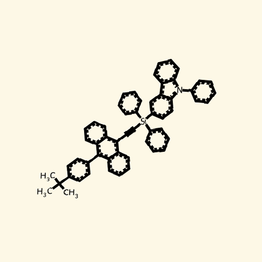 CC(C)(C)c1ccc(-c2c3ccccc3c(C#C[Si](c3ccccc3)(c3ccccc3)c3ccc4c(c3)c3ccccc3n4-c3ccccc3)c3ccccc23)cc1